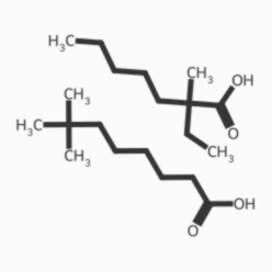 CC(C)(C)CCCCCC(=O)O.CCCCCC(C)(CC)C(=O)O